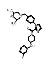 CC1CN(Cc2ccc(-n3ccnc3C(=O)N3CCC(Nc4cccc(F)c4)CC3)cc2)CC(C)N1